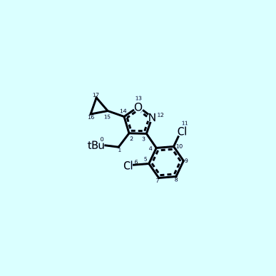 CC(C)(C)Cc1c(-c2c(Cl)cccc2Cl)noc1C1CC1